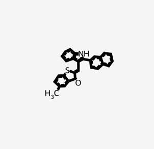 Cc1ccc2c(c1)C(=O)C(=Cc1c(-c3ccc4ccccc4c3)[nH]c3ccccc13)S2